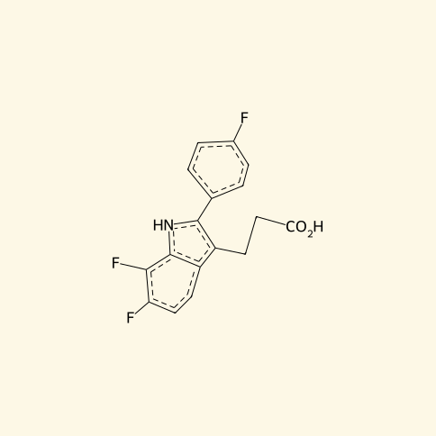 O=C(O)CCc1c(-c2ccc(F)cc2)[nH]c2c(F)c(F)ccc12